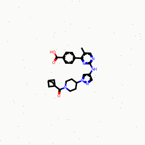 Cc1cnc(Nc2cnn(C3CCN(C(=O)C45CC(C4)C5)CC3)c2)nc1-c1ccc(C(=O)O)cc1